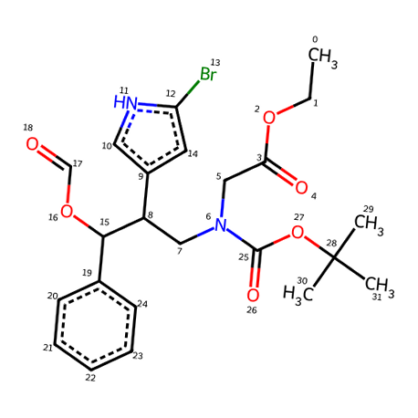 CCOC(=O)CN(CC(c1c[nH]c(Br)c1)C(OC=O)c1ccccc1)C(=O)OC(C)(C)C